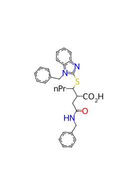 CCCC(Sc1nc2ccccc2n1Cc1ccccc1)C(CC(=O)NCc1ccccc1)C(=O)O